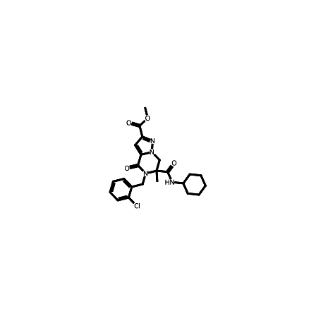 COC(=O)c1cc2n(n1)CC(C)(C(=O)NC1CCCCC1)N(Cc1ccccc1Cl)C2=O